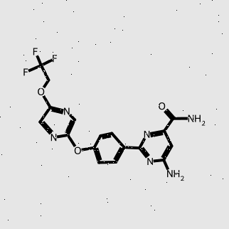 NC(=O)c1cc(N)nc(-c2ccc(Oc3cnc(OCC(F)(F)F)cn3)cc2)n1